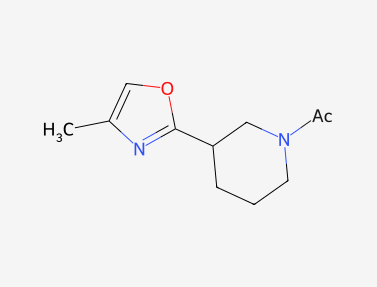 CC(=O)N1CCCC(c2nc(C)co2)C1